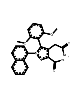 COc1cccc(OC)c1-c1c(CC(N)=O)c(C(=O)O)nn1-c1cccc2ccccc12